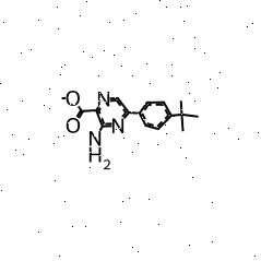 COC(=O)c1ncc(-c2ccc(C(C)(C)C)cc2)nc1N